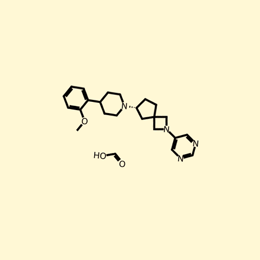 COc1ccccc1C1CCN([C@@H]2CCC3(C2)CN(c2cncnc2)C3)CC1.O=CO